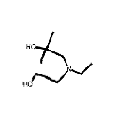 CCN(CCO)CC(C)(C)O